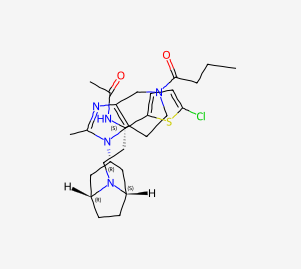 CCCC(=O)N1CCc2c(nc(C)n2[C@H]2C[C@H]3CC[C@@H](C2)N3CC[C@H](NC(C)=O)c2ccc(Cl)s2)C1